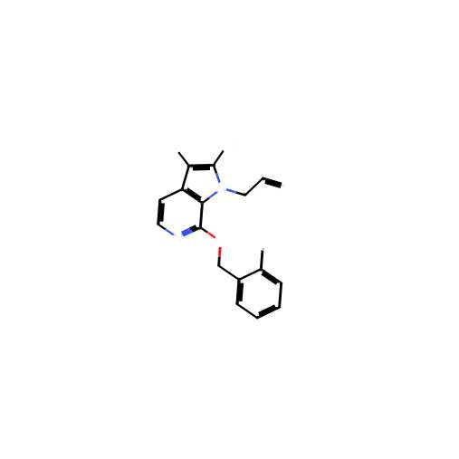 C=CCn1c(C)c(C)c2ccnc(OCc3ccccc3C)c21